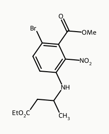 CCOC(=O)CC(C)Nc1ccc(Br)c(C(=O)OC)c1[N+](=O)[O-]